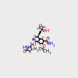 CC(C)Oc1cc2c(OCC3CCC(=O)N3)ncc(C#CC3(O)COC3)c2cc1C(N)=O